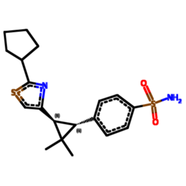 CC1(C)[C@@H](c2ccc(S(N)(=O)=O)cc2)[C@@H]1c1csc(C2CCCC2)n1